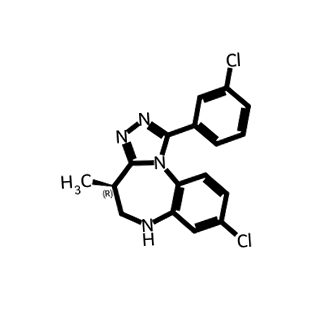 C[C@@H]1CNc2cc(Cl)ccc2-n2c(-c3cccc(Cl)c3)nnc21